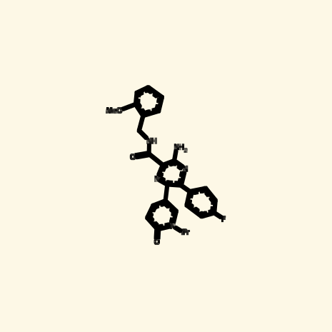 COc1ccccc1CNC(=O)c1nc(-c2ccc(=O)n(C(C)C)c2)c(-c2ccc(F)cc2)nc1N